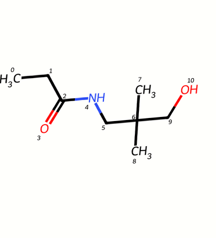 CCC(=O)NCC(C)(C)CO